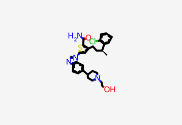 C[C@@H](CCc1cc(-n2cnc3ccc(C4CCN(CCO)CC4)cc32)sc1C(N)=O)c1ccccc1Cl